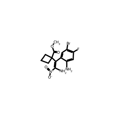 COC(=O)C1(/C(=C(/N)[N+](=O)[O-])c2cc(Br)c(F)cc2N)CCC1